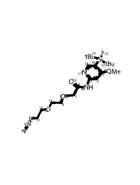 COc1cc(NC(=O)COCCOCCN=[N+]=[N-])ncc1[Si](F)(C(C)(C)C)C(C)(C)C